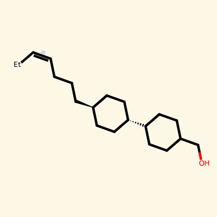 CC/C=C\CCC[C@H]1CC[C@H](C2CCC(CO)CC2)CC1